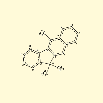 Cc1c2c(cc3ccccc13)C(C)(C)c1cccnc1-2